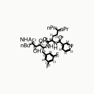 CCCC[C@@H](NC(C)=O)[C@@H](O)[C@H](O)[C@H](Cc1cc(F)cc(F)c1)NC(=O)[C@@H](CCC(CCC)CCC)NC(=O)c1cccnc1